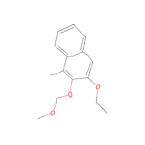 CCOc1cc2ccccc2c(C)c1OCOC